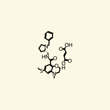 CSc1cc(C(=O)NC[C@@H]2CCCN2Cc2ccccc2)c2c(c1)N(C)CCO2.O=C(O)/C=C/C(=O)O